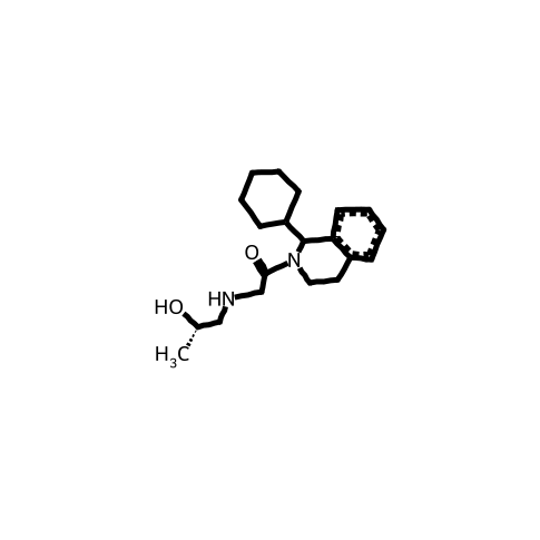 C[C@H](O)CNCC(=O)N1CCc2ccccc2C1C1CCCCC1